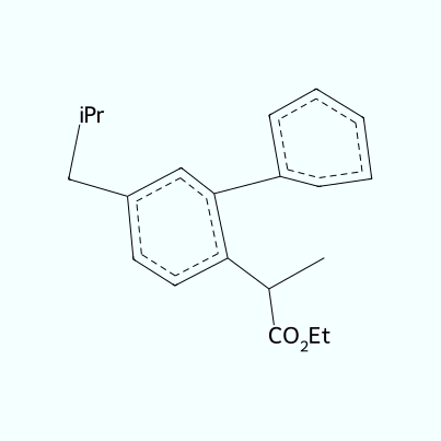 CCOC(=O)C(C)c1ccc(CC(C)C)cc1-c1ccccc1